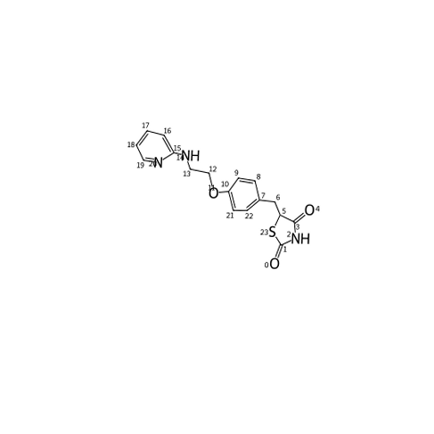 O=C1NC(=O)C(Cc2ccc(OCCNc3ccccn3)cc2)S1